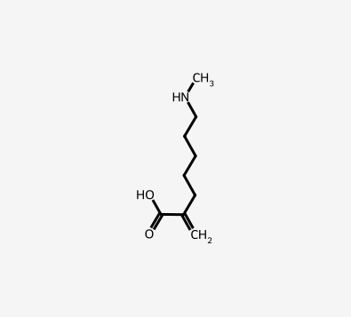 C=C(CCCCCNC)C(=O)O